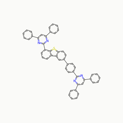 c1ccc(-c2cc(-c3ccccc3)nc(-c3ccc(-c4ccc5sc6c(-c7nc(-c8ccccc8)cc(-c8ccccc8)n7)cccc6c5c4)cc3)n2)cc1